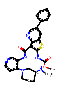 CC(C)(C)OC(=O)Nc1sc2cc(-c3ccccc3)cnc2c1C(=O)Nc1cnccc1N1CCC[C@H](NC(=O)O)C1